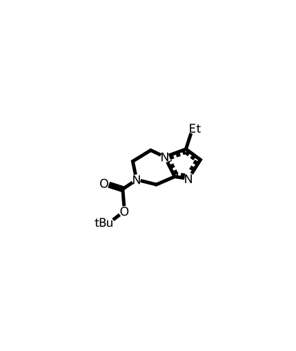 CCc1cnc2n1CCN(C(=O)OC(C)(C)C)C2